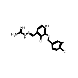 Cl.N=C(N)NN=Cc1cccc(OCc2ccc(Cl)c(Cl)c2)c1Cl